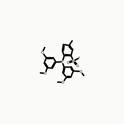 COc1cc(OC)cc(P(c2cc(OC)cc(OC)c2)c2ccc(C)cc2S(=O)(=O)F)c1